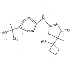 CC1(C2(O)CCC2)SC(Nc2ccc(C(C)(O)C(F)(F)F)cc2)=NC1=O